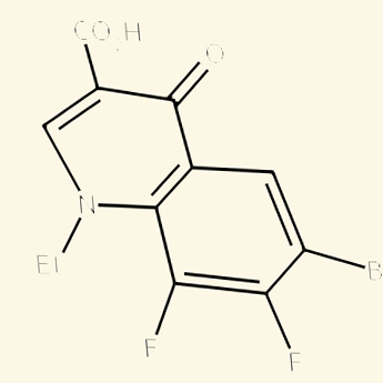 CCn1cc(C(=O)O)c(=O)c2cc(Br)c(F)c(F)c21